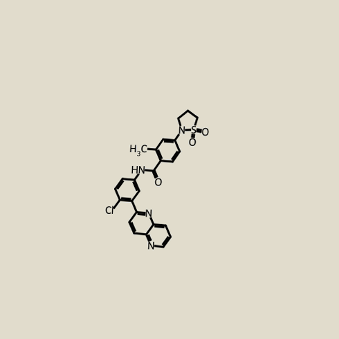 Cc1cc(N2CCCS2(=O)=O)ccc1C(=O)Nc1ccc(Cl)c(-c2ccc3ncccc3n2)c1